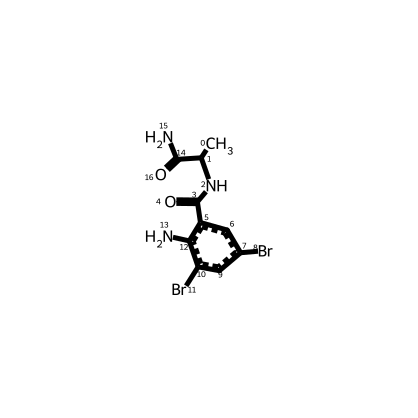 CC(NC(=O)c1cc(Br)cc(Br)c1N)C(N)=O